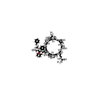 CC[C@H](C)[C@@H]1NC(=O)[C@@H](CCCNC(=N)N)NC(=O)[C@H](CC(C)C)NC(=O)[C@H]([C@H](O)C(C)C)NC(=O)[C@@H](NC(=O)[C@H](Cc2cccnc2)NC(=O)[C@@H](CC(C)(C)C)NC(=O)OCc2ccccc2)[C@@H](c2ccccc2)NC(=O)[C@H](CO)NC(=O)[C@H]([C@H](O)C(N)=O)NC(=O)CNC(=O)[C@H]([C@H](C)O)NC1=O